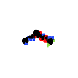 Cc1c(-c2nc(OC(=O)Nc3cc(F)cc(F)c3)co2)oc2cccc(OCCCNCc3cccnc3)c12